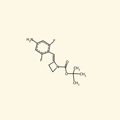 CC(C)(C)OC(=O)N1CCC1=Cc1c(F)cc(N)cc1F